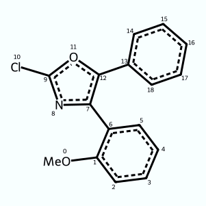 COc1ccccc1-c1nc(Cl)oc1-c1ccccc1